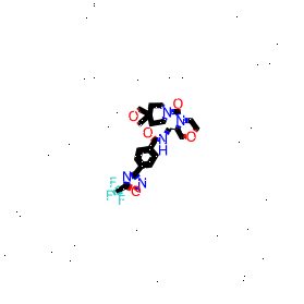 O=C(NC[C@H]1COCCN1C(=O)N1CCC2(CC1)COC2)c1ccc(-c2noc(C(F)(F)F)n2)cc1